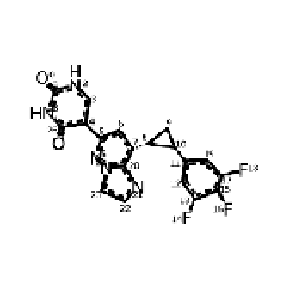 O=c1[nH]cc(-c2cc([C@@H]3C[C@H]3c3cc(F)c(F)c(F)c3)c3nccn3n2)c(=O)[nH]1